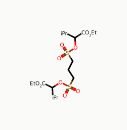 CCOC(=O)C(OS(=O)(=O)CCCS(=O)(=O)OC(C(=O)OCC)C(C)C)C(C)C